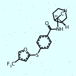 O=C(N[C@H]1CN2CCC1CC2)c1ccc(Sc2cc(C(F)(F)F)co2)cc1